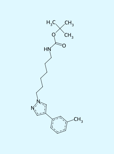 Cc1cccc(-c2cnn(CCCCCCNC(=O)OC(C)(C)C)c2)c1